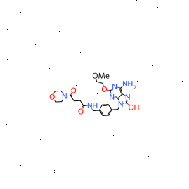 COCCOc1nc(N)c2nc(O)n(Cc3ccc(CNC(=O)CCC(=O)N4CCOCC4)cc3)c2n1